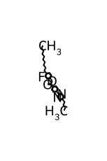 CCCCCCCCCCc1ccc(OC(=O)c2ccc(-c3ncc(CCCC)cn3)cc2)cc1F